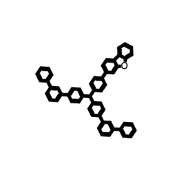 c1ccc(-c2cccc(-c3ccc(C(c4ccc(-c5cccc(-c6ccccc6)c5)cc4)c4ccc(-c5ccc6c(c5)oc5ccccc56)cc4)cc3)c2)cc1